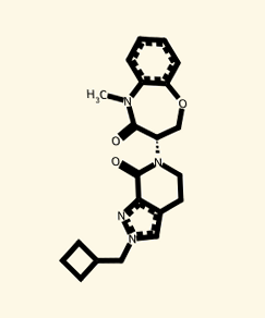 CN1C(=O)[C@@H](N2CCc3cn(CC4CCC4)nc3C2=O)COc2ccccc21